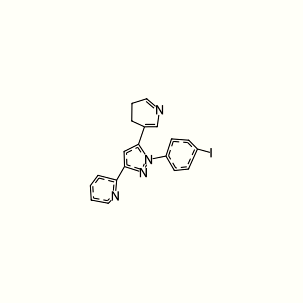 Ic1ccc(-n2nc(-c3ccccn3)cc2C2=CN=CCC2)cc1